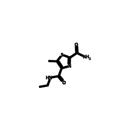 CCNC(=O)c1nc(C(N)=O)sc1C